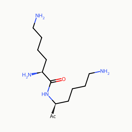 CC(=O)[C@H](CCCCN)NC(=O)[C@@H](N)CCCCN